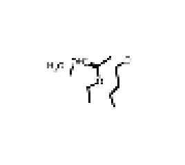 CCCCO.CCOC(C)=O.CO.O